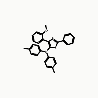 COc1ccccc1-c1nc(-c2ccccc2)sc1N(c1ccc(C)cc1)c1ccc(C)cc1